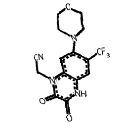 N#CCn1c(=O)c(=O)[nH]c2cc(C(F)(F)F)c(N3CCOCC3)cc21